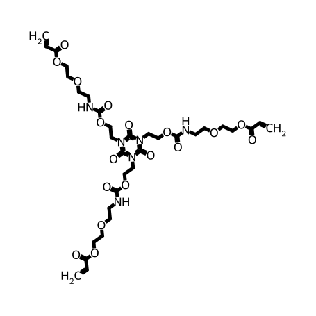 C=CC(=O)OCCOCCNC(=O)OCCn1c(=O)n(CCOC(=O)NCCOCCOC(=O)C=C)c(=O)n(CCOC(=O)NCCOCCOC(=O)C=C)c1=O